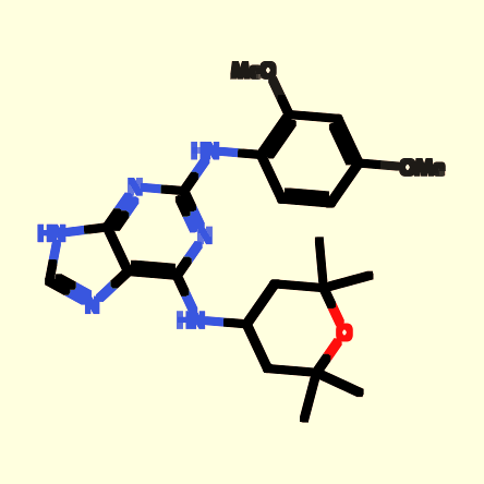 COc1ccc(Nc2nc(NC3CC(C)(C)OC(C)(C)C3)c3nc[nH]c3n2)c(OC)c1